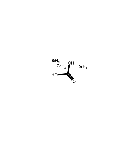 O=C(O)O.[BiH3].[CaH2].[SrH2]